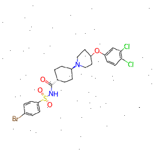 O=C(NS(=O)(=O)c1ccc(Br)cc1)[C@H]1CC[C@H](N2CCC(Oc3ccc(Cl)c(Cl)c3)CC2)CC1